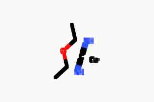 CCOCC.N=C=N.[Co]